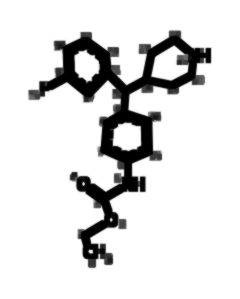 CCOC(=O)Nc1ccc(C(c2cccc(F)c2)C2CCNCC2)cc1